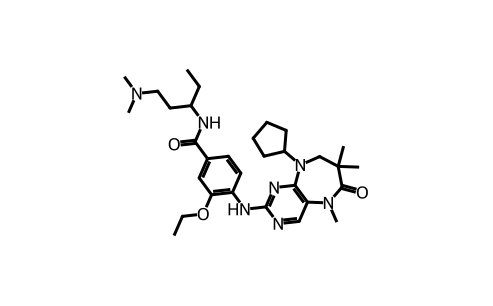 CCOc1cc(C(=O)NC(CC)CCN(C)C)ccc1Nc1ncc2c(n1)N(C1CCCC1)CC(C)(C)C(=O)N2C